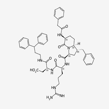 N=C(N)NCCC[C@H](NC(=O)[C@@H]1C[C@@H](Cc2ccccc2)[C@@H]2CC[C@H](NC(=O)Cc3ccccc3)C(=O)N12)C(=O)N[C@@H](CC(=O)O)C(=O)NCCC(c1ccccc1)c1ccccc1